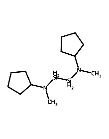 CN([SiH2][SiH2]N(C)C1CCCC1)C1CCCC1